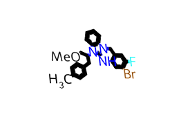 COCC(Cc1ccc(C)cc1)n1c(=N)n(Cc2ccc(Br)c(F)c2)c2ccccc21